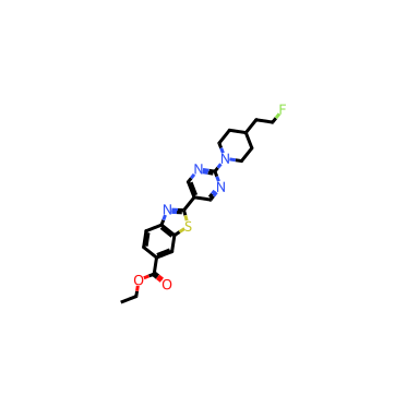 CCOC(=O)c1ccc2nc(-c3cnc(N4CCC(CCF)CC4)nc3)sc2c1